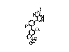 CCn1cnc2c(-c3ccc(F)c(-c4cc5ccn(S(C)(=O)=O)c5cc4OC)c3)cnnc21